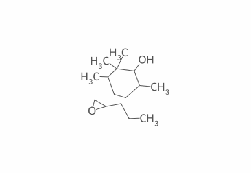 CC1CCC(C)C(C)(C)C1O.CCCC1CO1